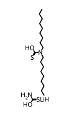 CCCCCCCCCN(CCCCCCCCC)C(O)=S.NC(O)=S.[LiH]